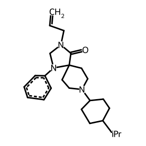 C=CCN1CN(c2ccccc2)C2(CCN(C3CCC(C(C)C)CC3)CC2)C1=O